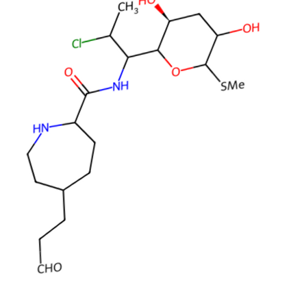 CSC1OC(C(NC(=O)C2CCC(CCC=O)CCN2)C(C)Cl)[C@@H](O)CC1O